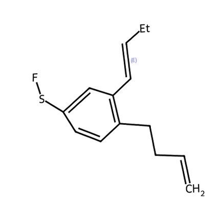 C=CCCc1ccc(SF)cc1/C=C/CC